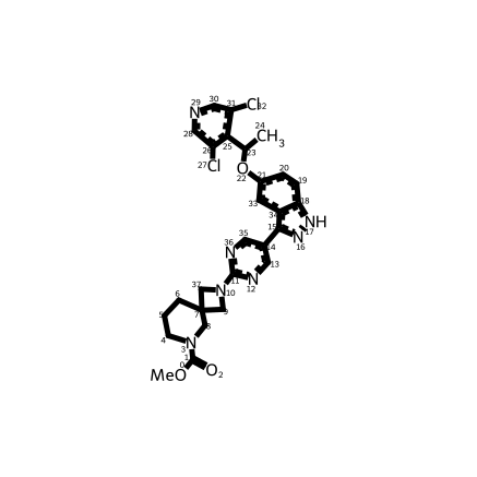 COC(=O)N1CCCC2(C1)CN(c1ncc(-c3n[nH]c4ccc(OC(C)c5c(Cl)cncc5Cl)cc34)cn1)C2